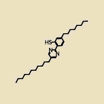 CCCCCCCCCCCc1cnc(-c2ccc(CCCCCCCC)cc2S)nc1